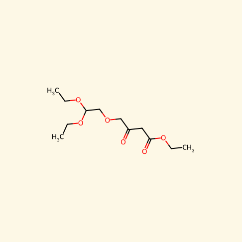 CCOC(=O)CC(=O)COCC(OCC)OCC